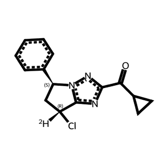 [2H][C@@]1(Cl)C[C@@H](c2ccccc2)n2nc(C(=O)C3CC3)nc21